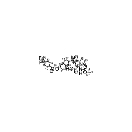 CC(C)(C)OC(=O)NC(=NC(=O)O)N1CCCC1c1nc(-c2ccc3cc(OCC(=O)c4ccc(C(F)(F)F)cc4)ccc3c2)no1